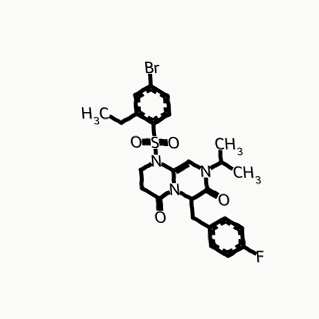 CCc1cc(Br)ccc1S(=O)(=O)N1CCC(=O)N2C1=CN(C(C)C)C(=O)C2Cc1ccc(F)cc1